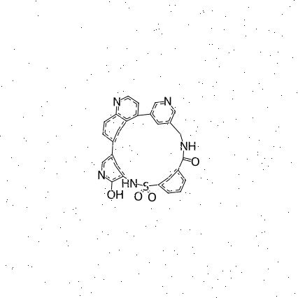 O=C1NCc2cncc(c2)-c2ccnc3ccc(cc23)-c2cnc(O)c(c2)NS(=O)(=O)c2cccc1c2